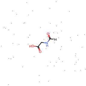 [3H]C(=O)NCC(=O)O